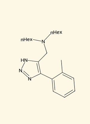 CCCCCCN(CCCCCC)Cc1[nH]nnc1-c1ccccc1C